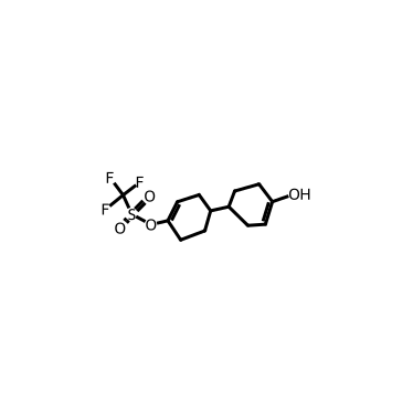 O=S(=O)(OC1=CCC(C2CC=C(O)CC2)CC1)C(F)(F)F